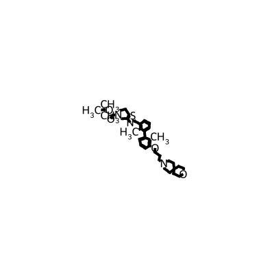 Cc1c(OCCCN2CCC3(CCOCC3)CC2)cccc1-c1cccc(-c2nc3c(s2)CCN(C(=O)OC(C)(C)C)C3)c1C